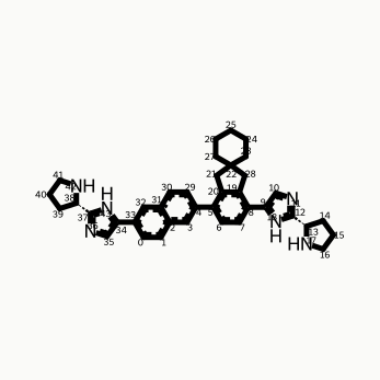 c1cc2cc(-c3ccc(-c4cnc([C@@H]5CCCN5)[nH]4)c4c3CC3(CCCCC3)C4)ccc2cc1-c1cnc([C@@H]2CCCN2)[nH]1